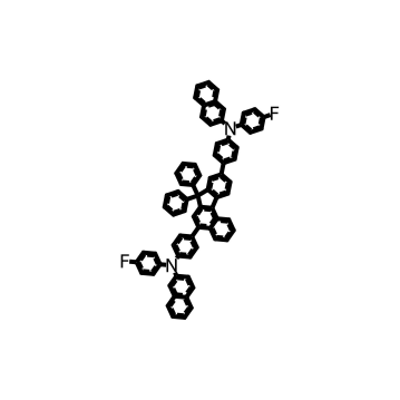 Fc1ccc(N(c2ccc(-c3ccc4c(c3)C(c3ccccc3)(c3ccccc3)c3cc(-c5ccc(N(c6ccc(F)cc6)c6ccc7ccccc7c6)cc5)c5ccccc5c3-4)cc2)c2ccc3ccccc3c2)cc1